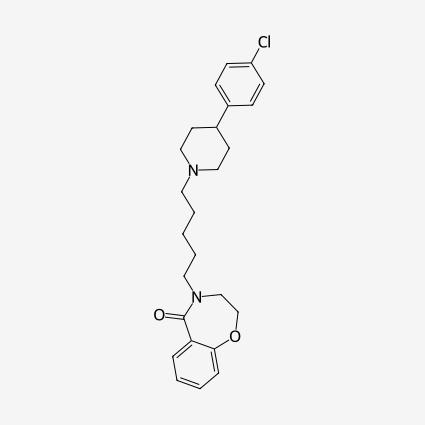 O=C1c2ccccc2OCCN1CCCCCN1CCC(c2ccc(Cl)cc2)CC1